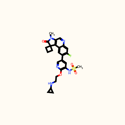 CN1C(=O)C2(CCC2)c2c1cnc1cc(F)c(-c3cnc(OCCNC4CC4)c(NS(C)(=O)=O)c3)cc21